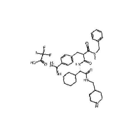 CN(Cc1ccccc1)C(=O)C(Cc1ccc(C(=N)N)cc1)C(=O)N[C@H](C(=O)NCC1CCNCC1)C1CCCCC1.O=C(O)C(F)(F)F